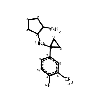 NC1CCCC1NC1(c2ccc(F)c(C(F)(F)F)c2)CC1